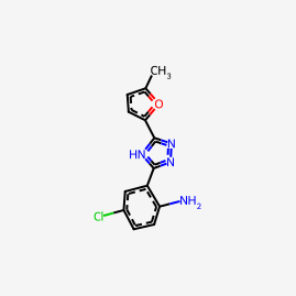 Cc1ccc(-c2nnc(-c3cc(Cl)ccc3N)[nH]2)o1